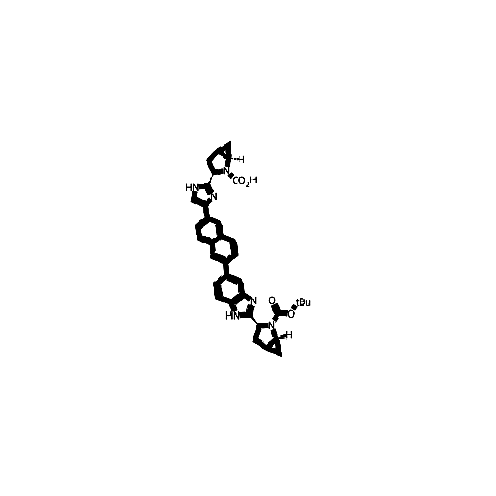 CC(C)(C)OC(=O)N1[C@@H]2CC2C[C@H]1c1nc2cc(-c3ccc4cc(-c5c[nH]c([C@@H]6CC7C[C@H]7N6C(=O)O)n5)ccc4c3)ccc2[nH]1